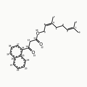 CC(C)=CCCC(C)=CCOC(=O)CC(=O)c1cccc2ccccc12